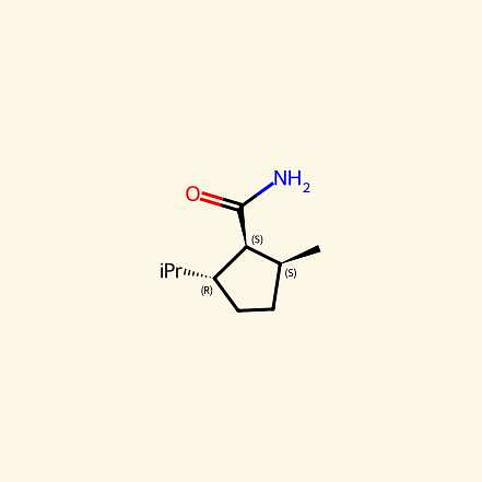 CC(C)[C@H]1CC[C@H](C)[C@@H]1C(N)=O